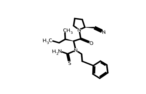 CCC(C)[C@@H](C(=O)N1CCC[C@H]1C#N)N(CCc1ccccc1)C(N)=S